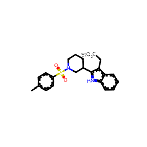 CCOC(=O)Cc1c(C2CCCN(S(=O)(=O)c3ccc(C)cc3)C2)[nH]c2ccccc12